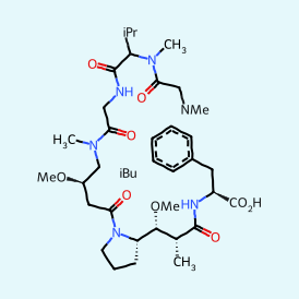 CC[C@H](C)C([C@@H](CC(=O)N1CCC[C@H]1[C@H](OC)[C@@H](C)C(=O)N[C@@H](Cc1ccccc1)C(=O)O)OC)N(C)C(=O)CNC(=O)C(C(C)C)N(C)C(=O)CNC